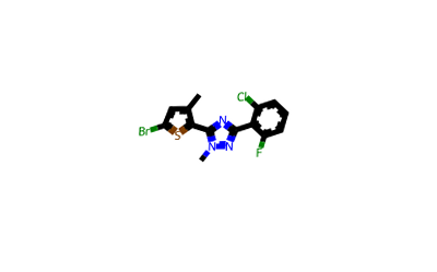 Cc1cc(Br)sc1-c1nc(-c2c(F)cccc2Cl)nn1C